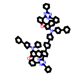 c1ccc(-c2ccc(N(c3ccccc3)c3cc4oc5cccc(-c6nc(-c7ccccc7)nc(-c7ccc(-c8ccc(-c9ccc(N(c%10ccc(-c%11ccccc%11)cc%10)c%10cc%11oc%12cccc(-c%13nc(-c%14ccccc%14)nc(-c%14ccccc%14)n%13)c%12c%11c%11ccccc%10%11)cc9)cc8)cc7)n6)c5c4c4ccccc34)cc2)cc1